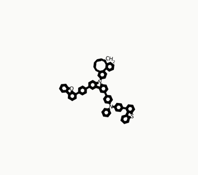 C=C1/C=C\C=C/Cc2cc(-n3c4ccc(-c5ccc(-c6cccc7c6oc6ccccc67)cc5)cc4c4cc(-c5ccc(N(c6ccccc6)c6ccc(-c7cccc8sc9ccccc9c78)cc6)cc5)ccc43)ccc2-c2ccccc21